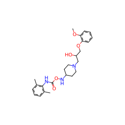 COc1ccccc1OCC(O)CN1CCC(NOC(=O)Nc2c(C)cccc2C)CC1